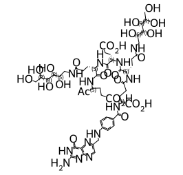 CC(=O)[C@H](CCC(=O)O)NC(=O)[C@H](CCC(=O)NC[C@H](O)[C@@H](O)[C@H](O)[C@H](O)CO)NC(=O)[C@H](CCC(=O)O)NC(=O)[C@H](CCC(=O)NC[C@H](O)[C@@H](O)[C@H](O)[C@H](O)CO)NC(=O)CC[C@H](NC(=O)c1ccc(NCc2cnc3nc(N)[nH]c(=O)c3n2)cc1)C(=O)O